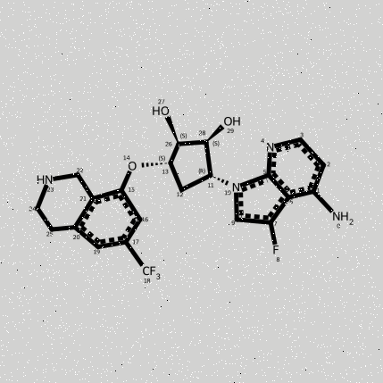 Nc1ccnc2c1c(F)cn2[C@@H]1C[C@H](Oc2cc(C(F)(F)F)cc3c2CNCC3)[C@@H](O)[C@H]1O